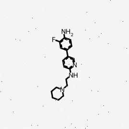 Nc1ccc(-c2ccc(NCCN3CCCCC3)nc2)cc1F